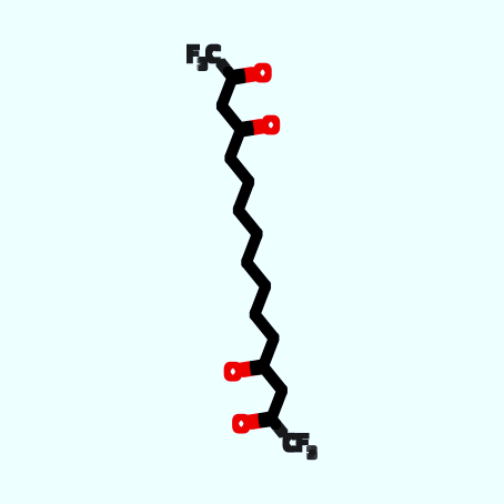 O=C(CCCCCCCCC(=O)CC(=O)C(F)(F)F)CC(=O)C(F)(F)F